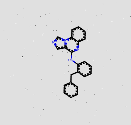 c1ccc(Cc2ccccc2Nc2nc3ccccc3n3cncc23)cc1